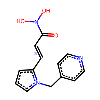 O=C(/C=C/c1cccn1Cc1ccncc1)N(O)O